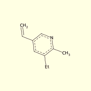 C=Cc1cnc(C)c(CC)c1